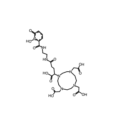 O=C(O)CN1CCN(CC(=O)O)CCN(C(CCC(=O)NCCNC(=O)c2cccc(=O)n2O)C(=O)O)CCN(CC(=O)O)CC1